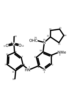 CNc1cnc(Nc2cc(S(C)(=O)=O)ccc2C)cc1N(C=O)C1CCCC1